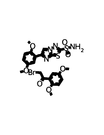 COc1ccc(OC)c(-c2cn3nc(S(N)(=O)=O)sc3n2)c1.COc1ccc(OC)c(C(=O)CBr)c1